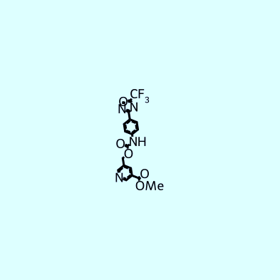 COC(=O)c1cncc(COC(=O)Nc2ccc(-c3noc(C(F)(F)F)n3)cc2)c1